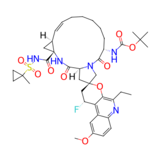 CCc1nc2ccc(OC)cc2c2c1O[C@]1(C[C@H]2F)C[C@H]2C(=O)N[C@]3(C(=O)NS(=O)(=O)C4(C)CC4)C[C@H]3/C=C\CCCCC[C@H](NC(=O)OC(C)(C)C)C(=O)N2C1